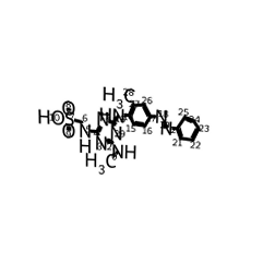 CNc1nc(NCS(=O)(=O)O)nc(Nc2ccc(N=Nc3ccccc3)cc2C)n1